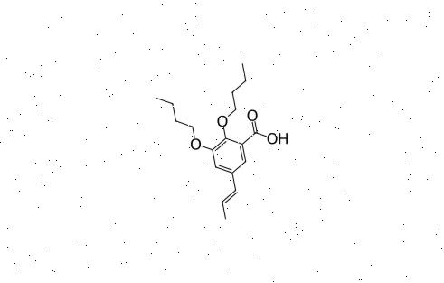 C/C=C/c1cc(OCCCC)c(OCCCC)c(C(=O)O)c1